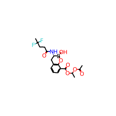 CC(=O)OC(C)OC(=O)c1cccc2c1OB(O)[C@@H](NC(=O)CCC(C)(F)F)C2